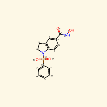 O=C(NO)c1ccc2c(c1)CCN2S(=O)(=O)c1ccccc1